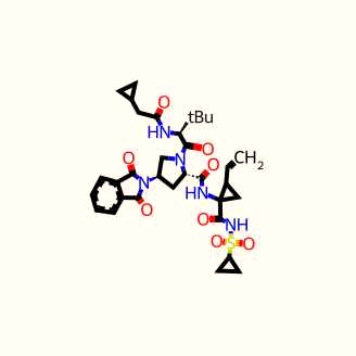 C=CC1CC1(NC(=O)[C@@H]1C[C@@H](N2C(=O)c3ccccc3C2=O)CN1C(=O)[C@@H](NC(=O)CC1CC1)C(C)(C)C)C(=O)NS(=O)(=O)C1CC1